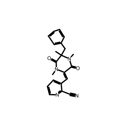 CN1C(=O)C(C)(Cc2ccccc2)N(C)C(=O)/C1=C/c1cccnc1C#N